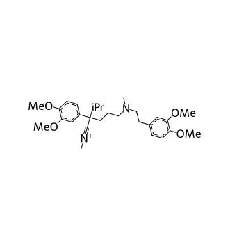 C[N+]#CC(CCCN(C)CCc1ccc(OC)c(OC)c1)(c1ccc(OC)c(OC)c1)C(C)C